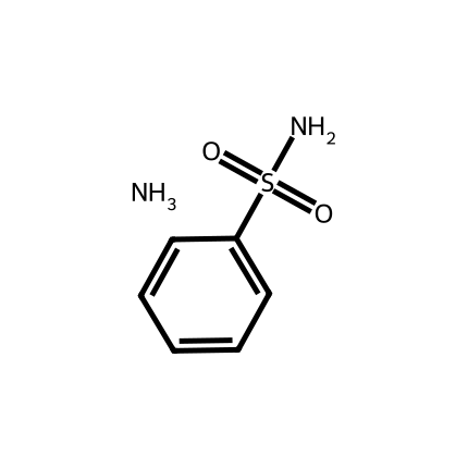 N.NS(=O)(=O)c1ccccc1